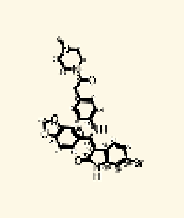 CN1CCN(C(=O)Cc2ccc(NC(=C3C(=O)Nc4cc(Br)ccc43)c3ccc4c(c3)OCO4)cc2)CC1